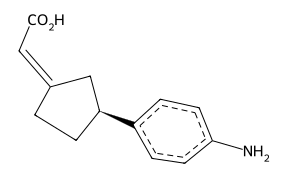 Nc1ccc([C@H]2CCC(=CC(=O)O)C2)cc1